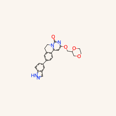 O=c1nc(OCC2COCCO2)cc2n1CCc1cc(-c3ccc4[nH]ncc4c3)ccc1-2